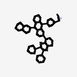 C/C=C\c1ccc(-c2c3ccccc3c(-c3ccc4ccccc4c3)c3ccc(-c4cccc5nc(-c6ccccc6)c(-c6ccccc6)nc45)cc23)cc1